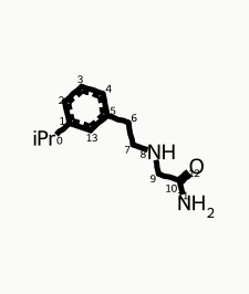 CC(C)c1cccc(CCNCC(N)=O)c1